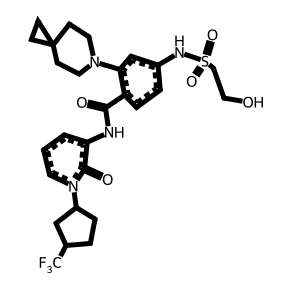 O=C(Nc1cccn(C2CCC(C(F)(F)F)C2)c1=O)c1ccc(NS(=O)(=O)CCO)cc1N1CCC2(CC1)CC2